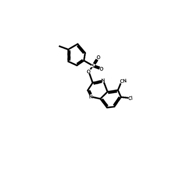 Cc1ccc(S(=O)(=O)Oc2cnc3ccc(Cl)c(C#N)c3n2)cc1